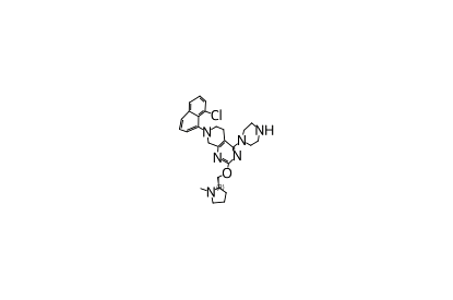 CN1CCC[C@@H]1COc1nc2c(c(N3CCNCC3)n1)CCN(c1cccc3cccc(Cl)c13)C2